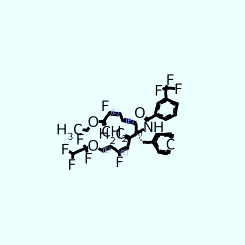 C=C(OCC)/C(F)=C\C=C\[C@@](Cc1ccccc1)(NC(=O)c1cccc(C(F)(F)F)c1)C(=C)/C=C(F)\C=C\OC(F)(F)C(F)F